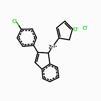 Clc1ccc(C2=Cc3ccccc3[CH]2[Zr+2][C]2=CC=CC2)cc1.[Cl-].[Cl-]